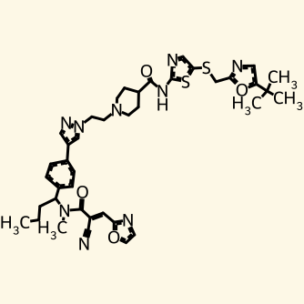 CCCC(c1ccc(-c2cnn(CCN3CCC(C(=O)Nc4ncc(SCc5ncc(C(C)(C)C)o5)s4)CC3)c2)cc1)N(C)C(=O)/C(C#N)=C/c1ncco1